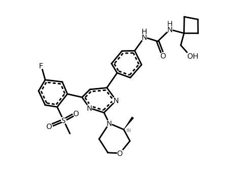 C[C@H]1COCCN1c1nc(-c2ccc(NC(=O)NC3(CO)CCC3)cc2)cc(-c2cc(F)ccc2S(C)(=O)=O)n1